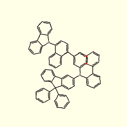 c1ccc(-c2ccccc2N(c2cccc(-c3ccc(-n4c5ccccc5c5ccccc54)c4ccccc34)c2)c2ccc3c(c2)-c2ccccc2C3(c2ccccc2)c2ccccc2)cc1